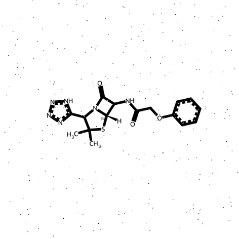 CC1(C)S[C@H]2C(NC(=O)COc3ccccc3)C(=O)N2C1c1nnn[nH]1